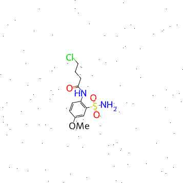 COc1ccc(NC(=O)CCCCl)c(S(N)(=O)=O)c1